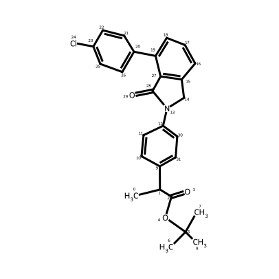 CC(C(=O)OC(C)(C)C)c1ccc(N2Cc3cccc(-c4ccc(Cl)cc4)c3C2=O)cc1